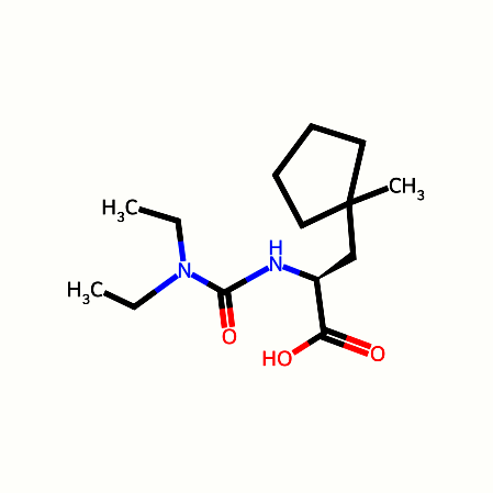 CCN(CC)C(=O)N[C@@H](CC1(C)CCCC1)C(=O)O